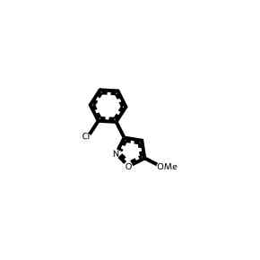 COc1cc(-c2ccccc2Cl)no1